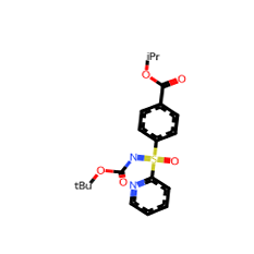 CC(C)OC(=O)c1ccc(S(=O)(=NC(=O)OC(C)(C)C)c2ccccn2)cc1